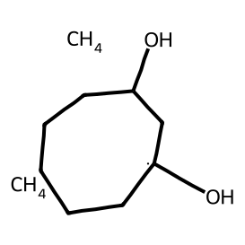 C.C.O[C]1CCCCCC(O)C1